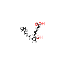 CCCCCCCC[C@H]1CC[C@@H](O)[C@@H]1CCC=CC=CC(=O)O